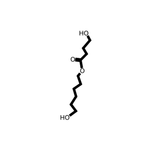 O=C(CCCO)OCCCCCCO